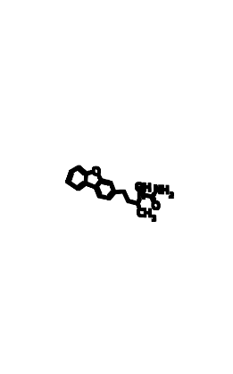 CC(CCc1ccc2c(c1)oc1ccccc12)N(O)C(N)=O